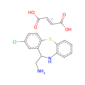 NCC1Nc2ccccc2Sc2ccc(Cl)cc21.O=C(O)/C=C/C(=O)O